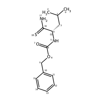 CC(C)C[C@H](NC(=O)OCc1ccccc1)C(N)=S